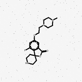 CN1CCN(CCOc2cc(F)c3c(c2)C(=O)OC32CCNCC2)CC1